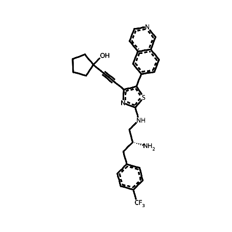 N[C@@H](CNc1nc(C#CC2(O)CCCC2)c(-c2ccc3cnccc3c2)s1)Cc1ccc(C(F)(F)F)cc1